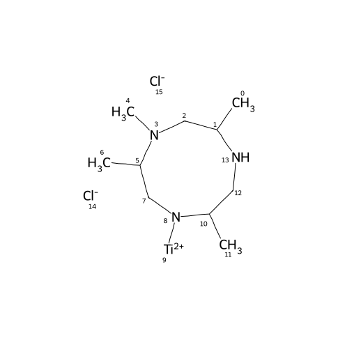 CC1CN(C)C(C)C[N]([Ti+2])C(C)CN1.[Cl-].[Cl-]